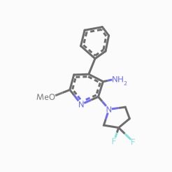 COc1cc(-c2ccccc2)c(N)c(N2CCC(F)(F)C2)n1